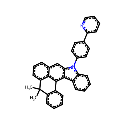 CC1(C)c2ccccc2-c2c3c1cccc3cc1c2c2ccccc2n1-c1ccc(-c2ccccn2)cc1